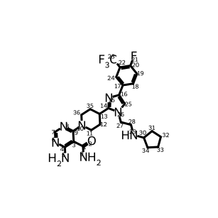 NC(=O)c1c(N)ncnc1N1CCC(c2nc(-c3ccc(F)c(C(F)(F)F)c3)cn2CCNC2CCCC2)CC1